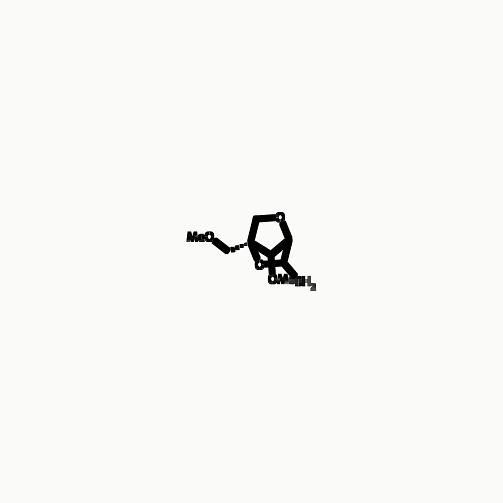 BC1O[C@@]2(COC)COC1C2OC